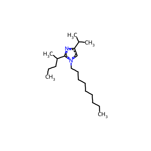 CCCCCCCCCn1cc(C(C)C)nc1C(C)CCC